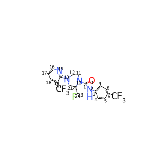 O=C(Nc1ccc(C(F)(F)F)cc1)N1CCN(c2ncccc2C(F)(F)F)CC1CF